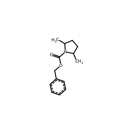 CC1CCC(C)N1C(=O)OCc1ccccc1